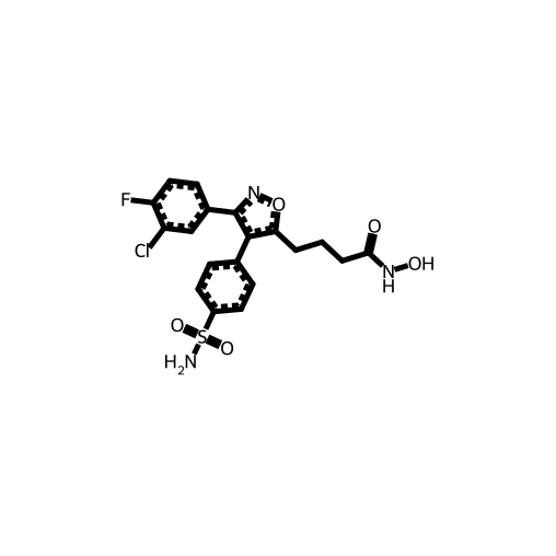 NS(=O)(=O)c1ccc(-c2c(-c3ccc(F)c(Cl)c3)noc2CCCC(=O)NO)cc1